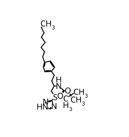 CCCCCCCCc1ccc(CCC(CSc2nc[nH]n2)NC(=O)OC(C)(C)C)cc1